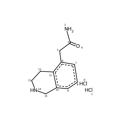 Cl.Cl.NC(=O)Cc1cccc2c1CCNC2